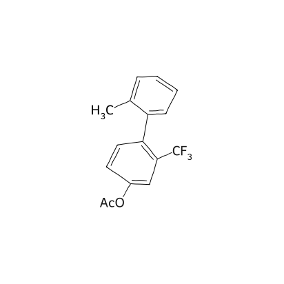 CC(=O)Oc1ccc(-c2ccccc2C)c(C(F)(F)F)c1